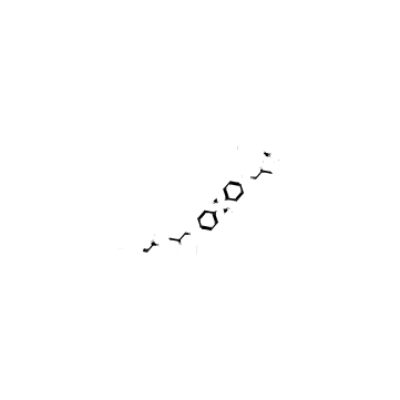 C=CC(=O)OCC(O)COc1ccc(S(=O)(=O)c2ccc(OCC(CO)OC(=O)CCCCCCCC)cc2)cc1